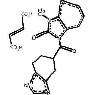 Cn1c(=O)n(C(=O)C2CCc3[nH]cnc3C2)c2ccccc21.O=C(O)/C=C/C(=O)O